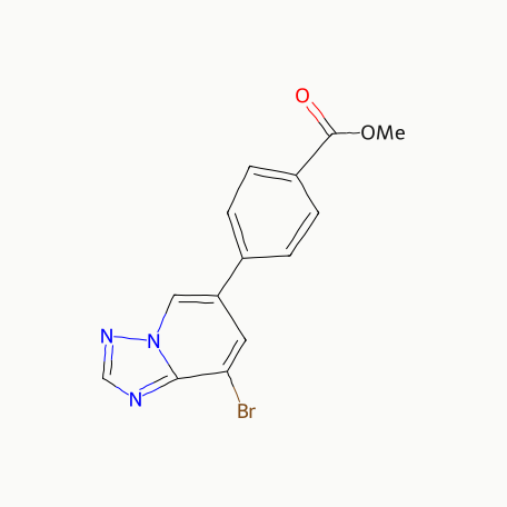 COC(=O)c1ccc(-c2cc(Br)c3ncnn3c2)cc1